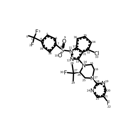 CC(F)(F)c1ccc(S(=O)(=O)n2nc(N3CCN(c4ncc(F)cn4)C[C@H]3C(C)(C)F)c3c(Cl)cccc32)cc1